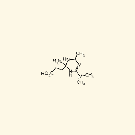 CC1N=C(N(C)C)NC(N)(CCC(=O)O)N1